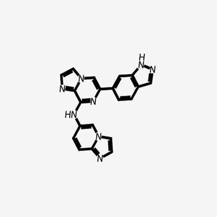 c1cn2cc(Nc3nc(-c4ccc5cn[nH]c5c4)cn4ccnc34)ccc2n1